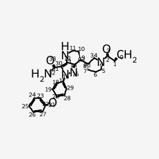 C=CC(=O)N1CCC[C@H]([C@@H]2CCNc3c2nn(-c2ccc(Oc4ccccc4)cc2)c3C(N)=O)C1